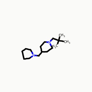 CC(C)(C)CN1CCC(CN2CCCCC2)CC1